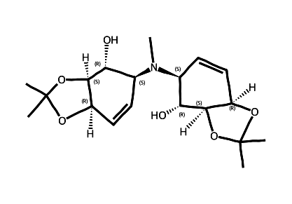 CN([C@H]1C=C[C@H]2OC(C)(C)O[C@H]2[C@@H]1O)[C@H]1C=C[C@H]2OC(C)(C)O[C@H]2[C@@H]1O